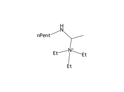 CCCCCNC(C)[N+](CC)(CC)CC